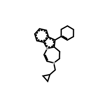 C1=Cn2c(c(C3=CCCCC3)c3ccccc32)CCN1CC1CC1